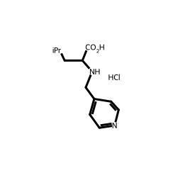 CC(C)CC(NCc1ccncc1)C(=O)O.Cl